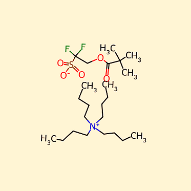 CC(C)(C)C(=O)OCC(F)(F)S(=O)(=O)[O-].CCCC[N+](CCCC)(CCCC)CCCC